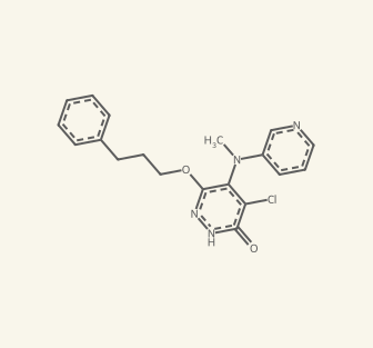 CN(c1cccnc1)c1c(OCCCc2ccccc2)n[nH]c(=O)c1Cl